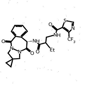 CCC(CNC(=O)c1scnc1C(F)(F)F)C(=O)N[C@@H]1C(=O)N2CC3(CC3)CN2C(=O)c2ccccc21